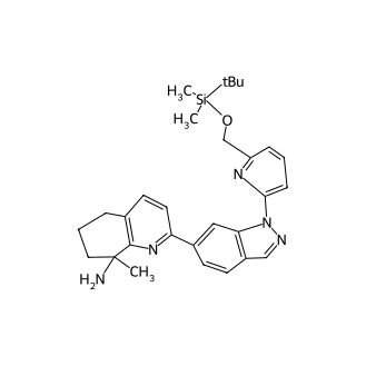 CC1(N)CCCc2ccc(-c3ccc4cnn(-c5cccc(CO[Si](C)(C)C(C)(C)C)n5)c4c3)nc21